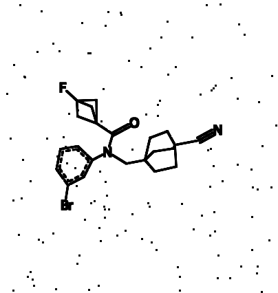 N#CC12CCC(CN(C(=O)C34CC(F)(C3)C4)c3cccc(Br)c3)(CC1)CC2